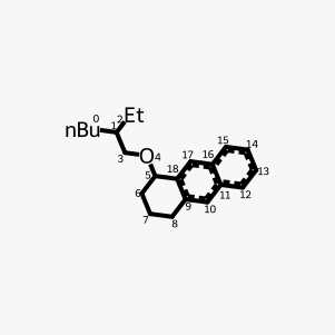 CCCCC(CC)COC1CCCc2cc3ccccc3cc21